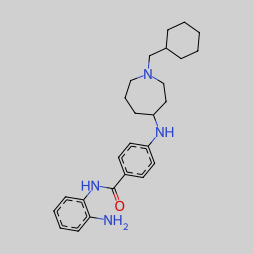 Nc1ccccc1NC(=O)c1ccc(NC2CCCN(CC3CCCCC3)CC2)cc1